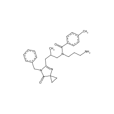 Cc1ccc(C(=O)N(CCCN)CC(C)CC2=NC3(CC3)C(=O)N2Cc2ccccc2)cc1